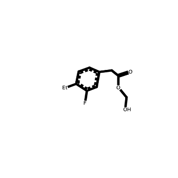 CCc1ccc(CC(=O)OCO)cc1F